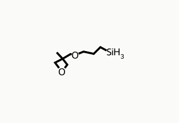 CC1(COCCC[SiH3])COC1